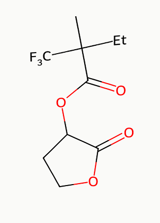 CCC(C)(C(=O)OC1CCOC1=O)C(F)(F)F